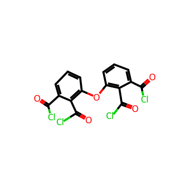 O=C(Cl)c1cccc(Oc2cccc(C(=O)Cl)c2C(=O)Cl)c1C(=O)Cl